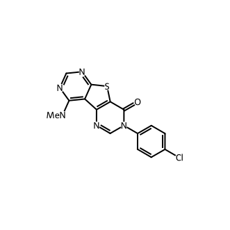 CNc1ncnc2sc3c(=O)n(-c4ccc(Cl)cc4)cnc3c12